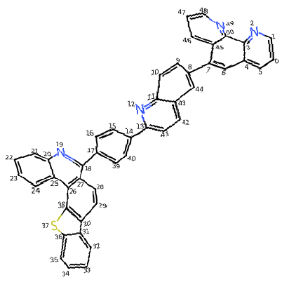 c1cnc2c(c1)cc(-c1ccc3nc(-c4ccc(-c5nc6ccccc6c6c5ccc5c7ccccc7sc56)cc4)ccc3c1)c1cccnc12